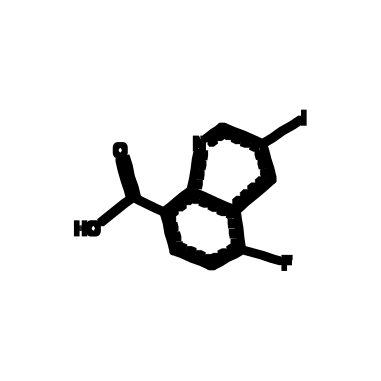 O=C(O)c1ccc(F)c2cc(I)cnc12